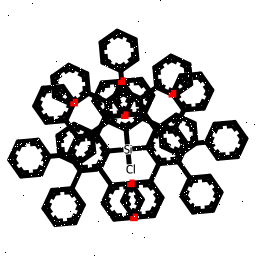 Cl[Si](c1c(-c2ccccc2)c(-c2ccccc2)c(-c2ccccc2)c(-c2ccccc2)c1-c1ccccc1)(c1c(-c2ccccc2)c(-c2ccccc2)c(-c2ccccc2)c(-c2ccccc2)c1-c1ccccc1)c1c(-c2ccccc2)c(-c2ccccc2)c(-c2ccccc2)c(-c2ccccc2)c1-c1ccccc1